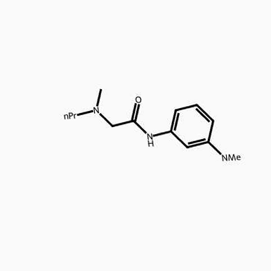 CCCN(C)CC(=O)Nc1cccc(NC)c1